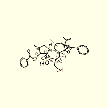 C=C(C)[C@]12C[C@@H](C)[C@@]34OC(c5ccccc5)(O[C@@H]1[C@@H]3[C@@H]1O[C@]1(CO)[C@@H](O)[C@@]1(O)[C@H]4C[C@H](C)[C@@H]1OC(=O)c1ccccc1)O2